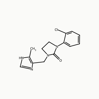 Cc1[nH]cnc1CN1CCN(c2ccccc2Cl)C1=O